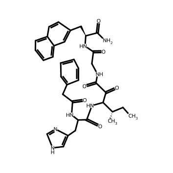 CC[C@H](C)C(NC(=O)C(Cc1c[nH]cn1)NC(=O)Cc1ccccc1)C(=O)C(=O)NCC(=O)N[C@@H](Cc1ccc2ccccc2c1)C(N)=O